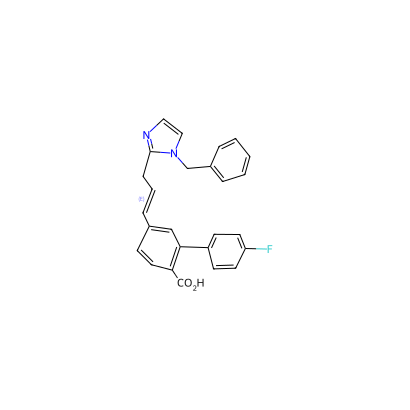 O=C(O)c1ccc(/C=C/Cc2nccn2Cc2ccccc2)cc1-c1ccc(F)cc1